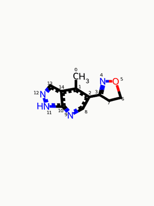 Cc1c(C2=NOCC2)cnc2[nH]ncc12